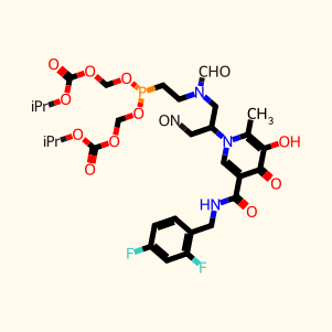 Cc1c(O)c(=O)c(C(=O)NCc2ccc(F)cc2F)cn1C(CN=O)CN(C=O)CCP(OCOC(=O)OC(C)C)OCOC(=O)OC(C)C